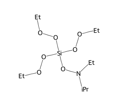 CCOO[Si](OOCC)(OOCC)ON(CC)C(C)C